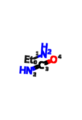 CCN.N=C=O